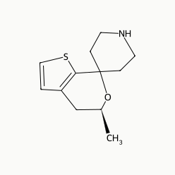 C[C@H]1Cc2ccsc2C2(CCNCC2)O1